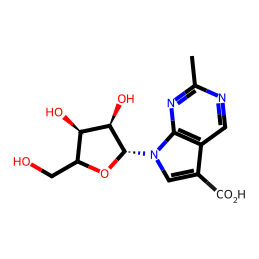 Cc1ncc2c(C(=O)O)cn([C@@H]3OC(CO)[C@@H](O)[C@H]3O)c2n1